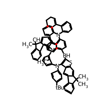 Cc1c2cccc1N(c1ccc(C(C)(C)C)cc1)c1c(sc3cc4c(cc13)-c1ccccc1C4(C)C)Bc1ccc(N(c3ccccc3C3=CCCC=C3)c3ccccc3-c3c#cccc3)cc1N2c1cccc2c1-c1ccccc1C2(C)C